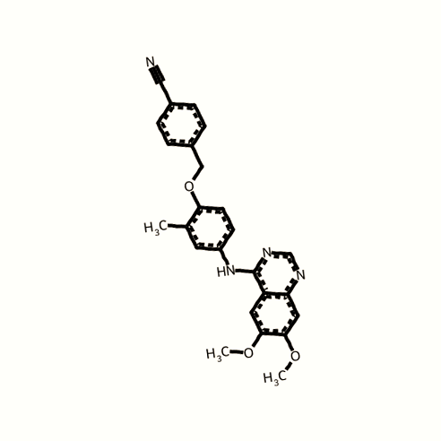 COc1cc2ncnc(Nc3ccc(OCc4ccc(C#N)cc4)c(C)c3)c2cc1OC